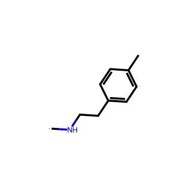 [CH2]NCCc1ccc(C)cc1